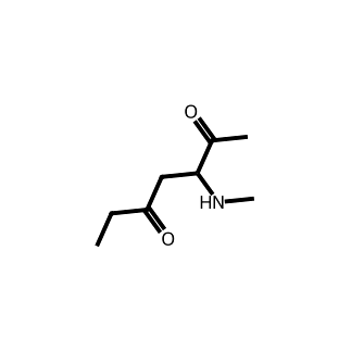 CCC(=O)CC(NC)C(C)=O